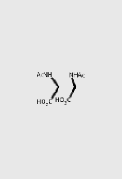 CC(=O)NCC(=O)O.CC(=O)NCC(=O)O